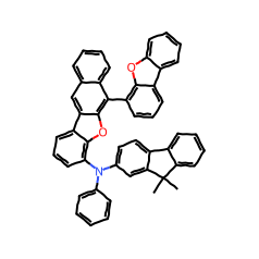 CC1(C)c2ccccc2-c2ccc(N(c3ccccc3)c3cccc4c3oc3c(-c5cccc6c5oc5ccccc56)c5ccccc5cc34)cc21